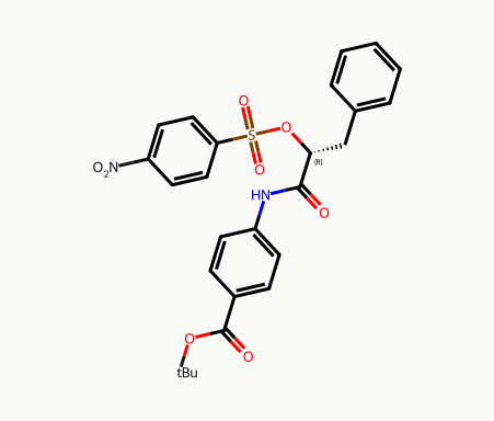 CC(C)(C)OC(=O)c1ccc(NC(=O)[C@@H](Cc2ccccc2)OS(=O)(=O)c2ccc([N+](=O)[O-])cc2)cc1